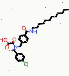 CCCCCCCCCCCCNC(=O)c1ccc(CN(C(=O)C(=O)O)[C@@H](C)c2ccc(Cl)cc2)cc1